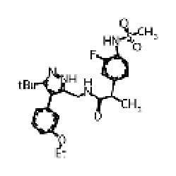 CCOc1cccc(-c2c(C(C)(C)C)n[nH]c2CNC(=O)C(C)c2ccc(NS(C)(=O)=O)c(F)c2)c1